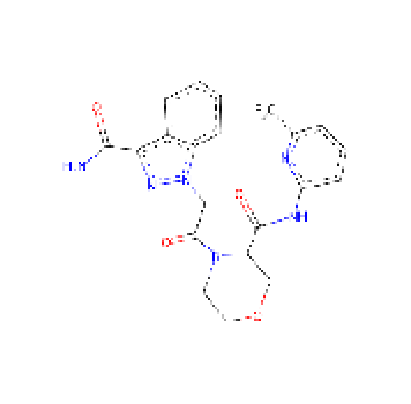 NC(=O)c1nn(CC(=O)N2CCOCC2C(=O)Nc2cccc(C(F)(F)F)n2)c2ccccc12